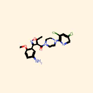 COc1ccc(N)cc1-c1noc(C)c1C(=O)N1CCN(c2ncc(Cl)cc2Cl)CC1